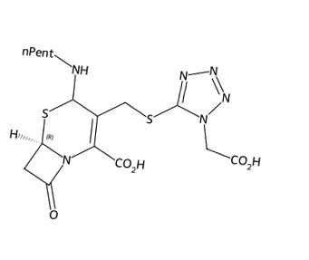 CCCCCNC1S[C@@H]2CC(=O)N2C(C(=O)O)=C1CSc1nnnn1CC(=O)O